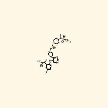 CCN(C(=O)c1cc(F)ccc1Oc1cncnc1N1CC[C@@H](CNC[C@H]2CC[C@H](NS(C)(=O)=O)CC2)C1)C(C)C